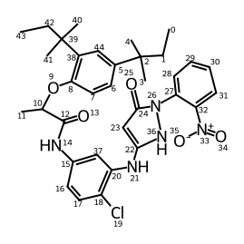 CCC(C)(C)c1ccc(OC(C)C(=O)Nc2ccc(Cl)c(Nc3cc(=O)n(-c4ccccc4[N+](=O)[O-])[nH]3)c2)c(C(C)(C)CC)c1